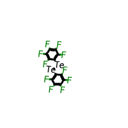 Fc1c(F)c(F)c([Te][Te]c2c(F)c(F)c(F)c(F)c2F)c(F)c1F